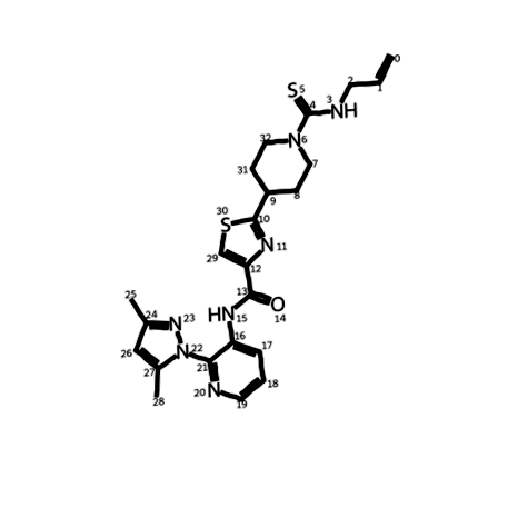 C=CCNC(=S)N1CCC(c2nc(C(=O)Nc3cccnc3-n3nc(C)cc3C)cs2)CC1